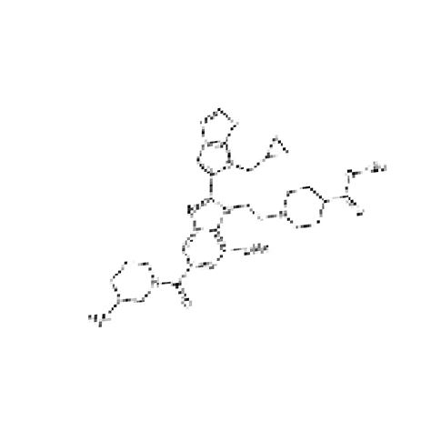 COc1cc(C(=O)N2CCCC(C)C2)cc2nc(-c3cc4ccsc4n3CC3CC3)n(CCN3CCC(C(=O)OC(C)(C)C)CC3)c12